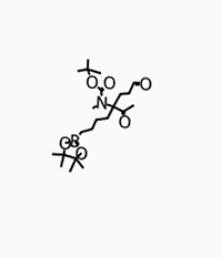 CC(=O)C(CCC=O)(CCCCB1OC(C)(C)C(C)(C)O1)N(C)C(=O)OC(C)(C)C